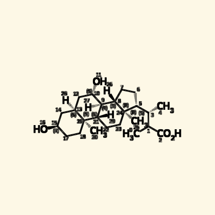 CC(C(=O)O)[C@@H](C)[C@H]1CC[C@H]2[C@@H]3[C@@H](O)C[C@@H]4C[C@H](O)CC[C@]4(C)[C@H]3CC[C@]12C